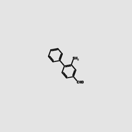 O=Cc1ccc(-c2ccccc2)c([SiH3])c1